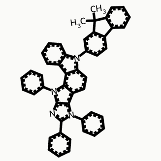 CC1(C)c2ccccc2-c2ccc(-n3c4ccccc4c4c3ccc3c5c(nc(-c6ccccc6)n5-c5ccccc5)n(-c5ccccc5)c34)cc21